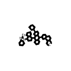 CCc1nc2ccccc2n1-c1ccc(-c2c3ccccc3c(-c3ccc4ccc5ccccc5c4c3)c3ccc(-c4ccccc4)cc23)c2ccccc12